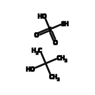 CC(C)(C)O.O=S(=O)(O)S